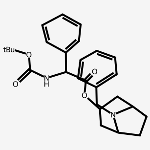 CC(C)(C)OC(=O)NC(C(=O)OC1CC2CCC(C1)N2Cc1ccccc1)c1ccccc1